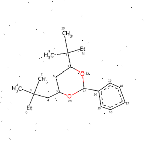 CCC(C)(C)CC1CC(C(C)(C)CC)OC(c2ccccc2)O1